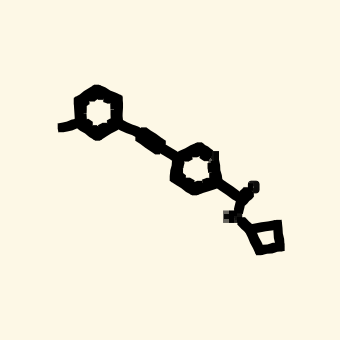 Cc1cccc(C#Cc2ccc(C(=O)NC3CCC3)nc2)c1